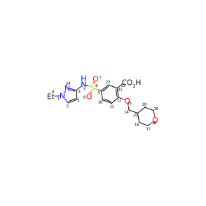 CCn1ccc(NS(=O)(=O)c2ccc(OCC3CCOCC3)c(C(=O)O)c2)n1